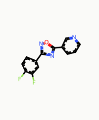 Fc1ccc(-c2noc(-c3cccnc3)n2)cc1F